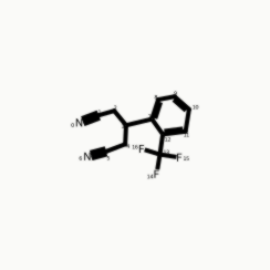 N#CCC(CC#N)c1ccccc1C(F)(F)F